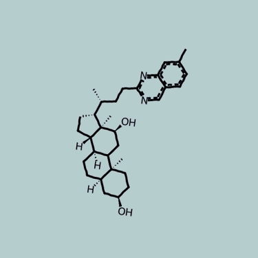 Cc1ccc2cnc(CC[C@@H](C)[C@H]3CC[C@H]4[C@@H]5CC[C@@H]6C[C@H](O)CC[C@]6(C)C5C[C@H](O)[C@]34C)nc2c1